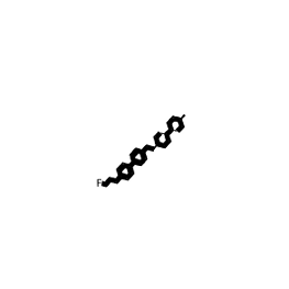 C[C@H]1CC[C@H]([C@H]2CC[C@H](CCc3ccc(-c4ccc(CCCF)cc4)cc3)CC2)CC1